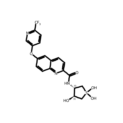 O=C(N[C@@H]1CS(O)(O)C[C@H]1O)c1ccc2cc(Oc3ccc(C(F)(F)F)nc3)ccc2n1